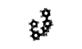 c1cc(-c2cn3cc(Nc4cc(CN5CCCC5)ccn4)nc3cn2)ccn1